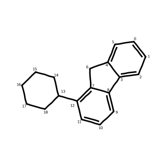 c1ccc2c(c1)Cc1c-2cccc1C1CCCCC1